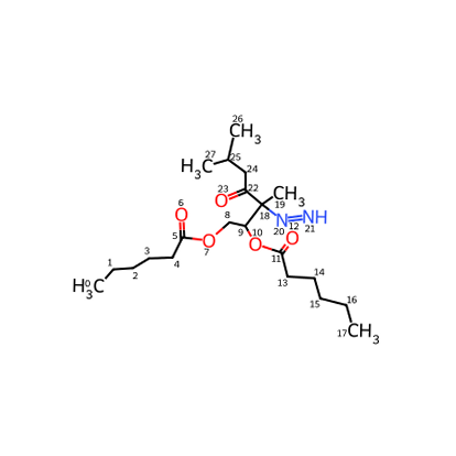 CCCCCC(=O)OCC(OC(=O)CCCCC)C(C)(N=N)C(=O)CC(C)C